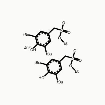 CCOP(=O)([O-])Cc1cc(C(C)(C)C)c(O)c(C(C)(C)C)c1.CCOP(=O)([O-])Cc1cc(C(C)(C)C)c(O)c(C(C)(C)C)c1.[Zn+2]